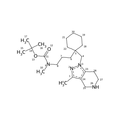 Cc1nn(CC2(CCCN(C)C(=O)OC(C)(C)C)CCCCC2)c2c1CNCC2